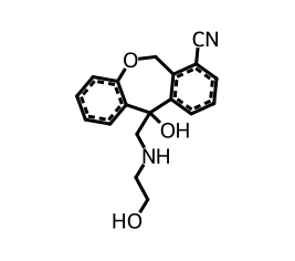 N#Cc1cccc2c1COc1ccccc1C2(O)CNCCO